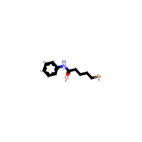 O=C(CCCCBr)Nc1cc[c]cc1